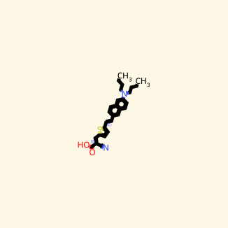 CCCCN(CCCC)c1ccc2cc(/C=C/c3ccc(/C=C(\C#N)C(=O)O)s3)ccc2c1